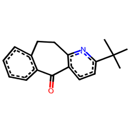 CC(C)(C)c1ccc2c(n1)CCc1ccccc1C2=O